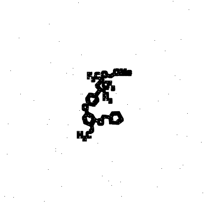 C=Cc1ccc(Oc2ccc(C(C)CC(OCOC)(C(F)(F)F)C(F)(F)F)cc2)cc1OCc1ccccc1